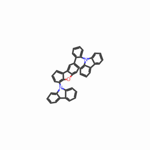 c1ccc(-n2c3ccccc3c3ccccc32)c(-c2ccc3oc4c(-n5c6ccccc6c6ccccc65)cccc4c3c2)c1